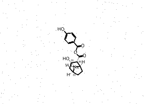 CN1[C@H]2CC[C@@H]1[C@@H](C(=O)OC(=O)c1ccc(O)cc1)[C@@H](O)C2